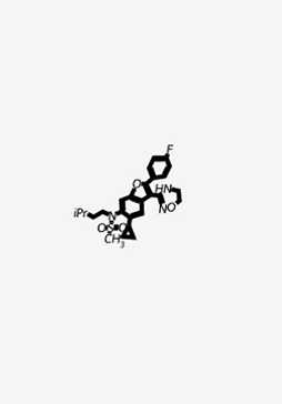 CC(C)CCN(c1cc2oc(-c3ccc(F)cc3)c(C3=NOCCN3)c2cc1C1CC1)S(C)(=O)=O